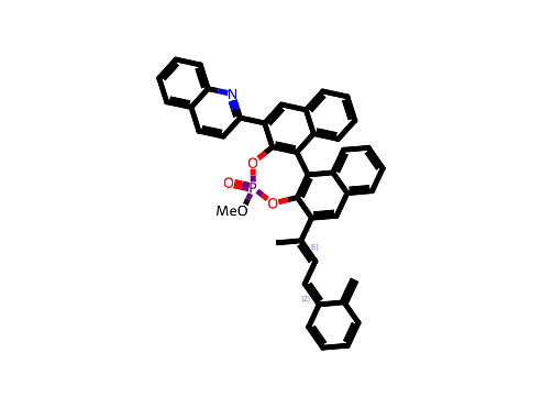 C=c1cccc/c1=C/C=C(\C)c1cc2ccccc2c2c1OP(=O)(OC)Oc1c(-c3ccc4ccccc4n3)cc3ccccc3c1-2